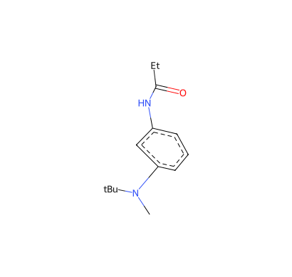 CCC(=O)Nc1cccc(N(C)C(C)(C)C)c1